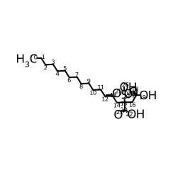 CCCCCCCCCCCCC=CCC(CC(=O)O)(C(=O)O)S(=O)(=O)O